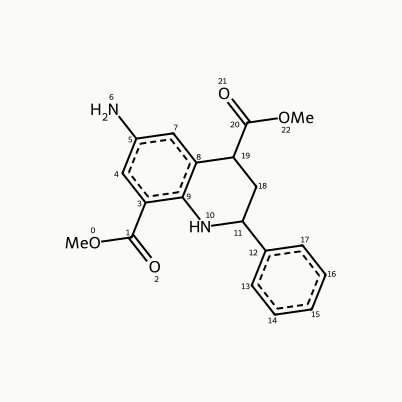 COC(=O)c1cc(N)cc2c1NC(c1ccccc1)CC2C(=O)OC